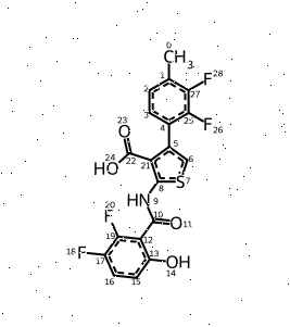 Cc1ccc(-c2csc(NC(=O)c3c(O)ccc(F)c3F)c2C(=O)O)c(F)c1F